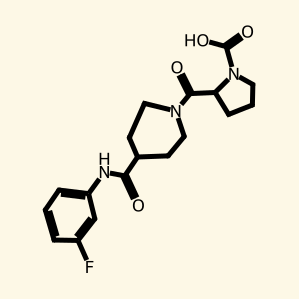 O=C(Nc1cccc(F)c1)C1CCN(C(=O)C2CCCN2C(=O)O)CC1